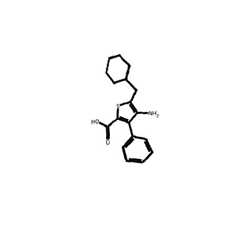 Nc1c(CC2CCCCC2)sc(C(=O)O)c1-c1ccccc1